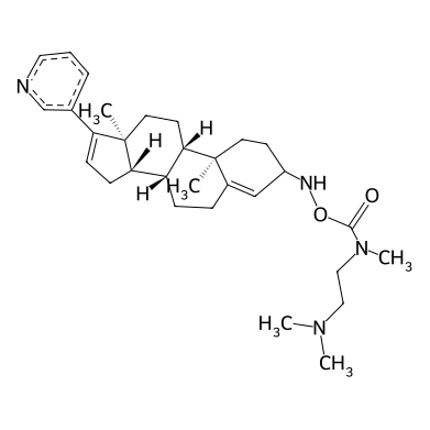 CN(C)CCN(C)C(=O)ONC1C=C2CC[C@H]3[C@H](CC[C@]4(C)C(c5cccnc5)=CC[C@@H]34)[C@@]2(C)CC1